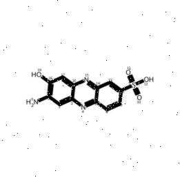 Nc1cc2nc3ccc(S(=O)(=O)O)cc3nc2cc1O